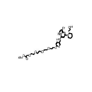 CCc1cnn2c(NCc3ccc(OCCOCCOCCOCCOCC(=O)OC(C)(C)C)nc3)cc(N3CCCC[C@H]3CCO)nc12